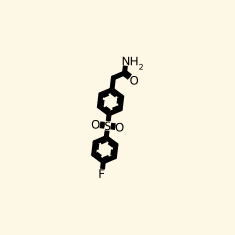 NC(=O)Cc1ccc(S(=O)(=O)c2ccc(F)cc2)cc1